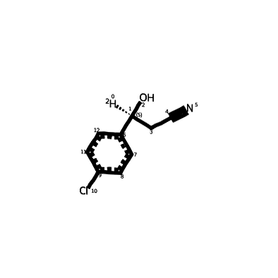 [2H][C@](O)(CC#N)c1ccc(Cl)cc1